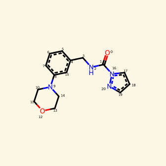 O=C(NCc1cccc(N2CCOCC2)c1)n1cccn1